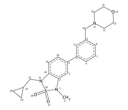 CN1c2cc(-c3cccc(CN4CCOCC4)c3)ccc2N(CC2CC2)S1(=O)=O